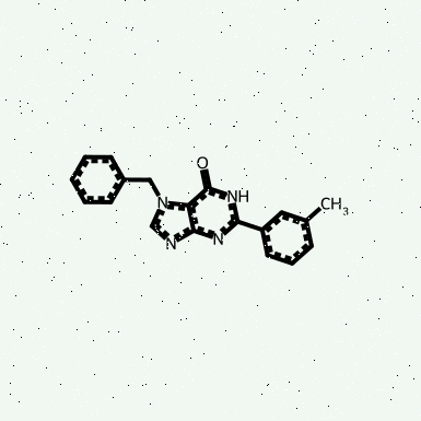 Cc1cccc(-c2nc3ncn(Cc4ccccc4)c3c(=O)[nH]2)c1